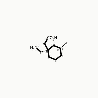 C[C@@H]1CCC[C@@](CN)(CC(=O)O)C1